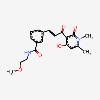 COCCNC(=O)c1cccc(C=CC(=O)c2c(O)cc(C)n(C)c2=O)c1